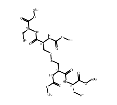 CCCCOC(=O)[C@H](CC(C)C)NC(=O)[C@H](CSSC[C@H](NC(=O)OC(C)(C)C)C(=O)N[C@@H](CC(C)C)C(=O)OCCCC)NC(=O)OC(C)(C)C